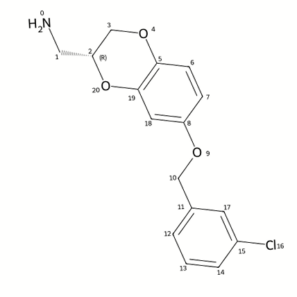 NC[C@@H]1COc2ccc(OCc3cccc(Cl)c3)cc2O1